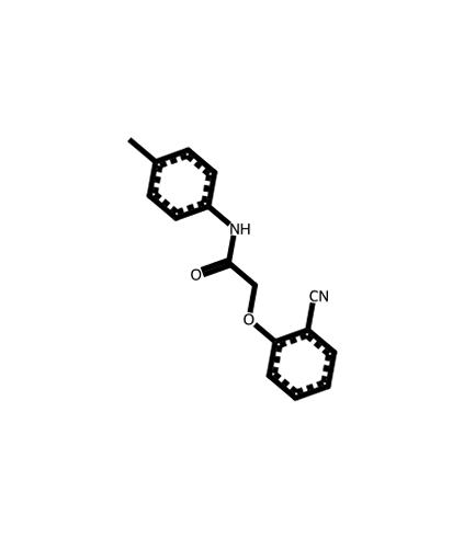 Cc1ccc(NC(=O)COc2ccccc2C#N)cc1